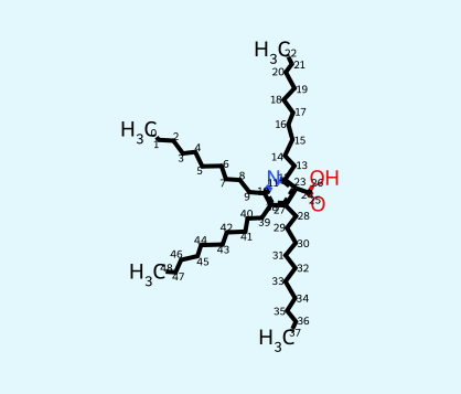 CCCCCCCCCCc1nc(CCCCCCCCCC)c(C(=O)O)c(CCCCCCCCCC)c1CCCCCCCCCC